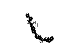 O=C(NCC(O)CN1CCc2ccccc2C1)c1ccc2nc(OCc3ccc4c(c3)CCN(CC(O)CNC(=O)c3cccc(C5CCOC5)c3)C4)ccc2c1